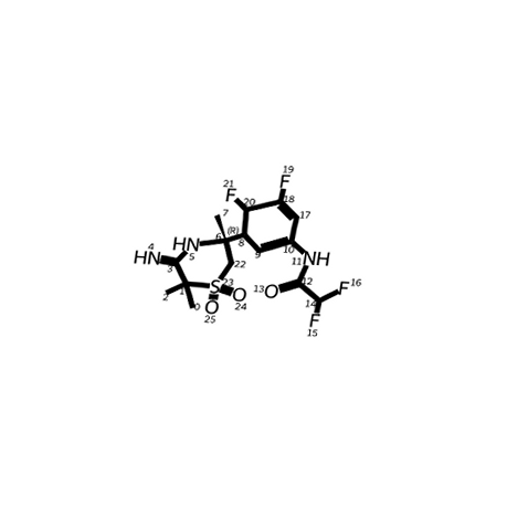 CC1(C)C(=N)N[C@](C)(C2C=C(NC(=O)C(F)F)C=C(F)C2F)CS1(=O)=O